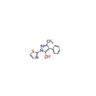 Cc1nn(-c2nccs2)c(O)c1-c1ccccc1